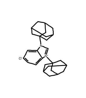 [Cl-].c1ccc2c(c1)n(C13CC4CC(CC(C4)C1)C3)c[n+]2C12CC3CC(CC(C3)C1)C2